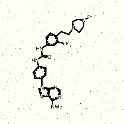 CCN1CCN(CCc2ccc(NC(=O)Nc3ccc(-n4cnc5c(NC)ncnc54)cc3)cc2C(F)(F)F)CC1